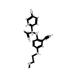 COCCOc1ccc(ON(C(C)=O)c2ccc(Cl)cn2)c(C#N)c1